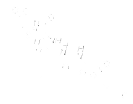 CC1(C)S[C@@H]2[C@H](NC(=O)C(NC(=O)NC(=O)CS(=O)(=O)c3ccc(Cl)cc3)c3ccccc3)C(=O)N2[C@H]1C(=O)O